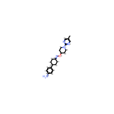 Cc1cnc(N2CCC(ON=C3CCC(c4ccc(N)cc4)CC3)CC2)nc1